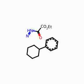 CCOC(=O)C(=O)[NH+]=[N-].c1ccc(C2CCCCC2)cc1